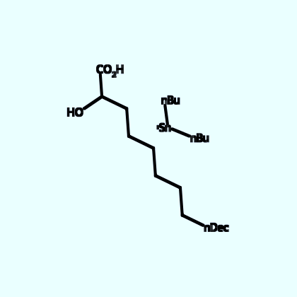 CCCCCCCCCCCCCCCCC(O)C(=O)O.CCC[CH2][Sn][CH2]CCC